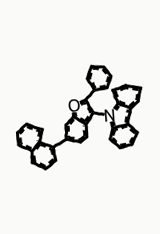 c1ccc(-c2oc3cc(-c4cccc5ccccc45)ccc3c2-n2c3ccccc3c3ccccc32)cc1